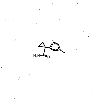 Cn1cnc(C2(C(N)=O)CC2)c1